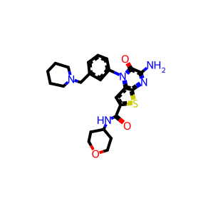 Nc1nc2sc(C(=O)NC3CCOCC3)cc2n(-c2cccc(CN3CCCCC3)c2)c1=O